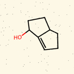 OC1CCC2CCC=C12